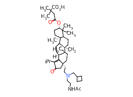 CC(=O)NCCN(CC[C@@]12CC[C@]3(C)[C@H](CCC4[C@@]5(C)CC[C@H](OC(=O)CC(C)(C)C(=O)O)C(C)(C)C5CC[C@]43C)C1=C(C(C)C)C(=O)C2)CC1CCC1